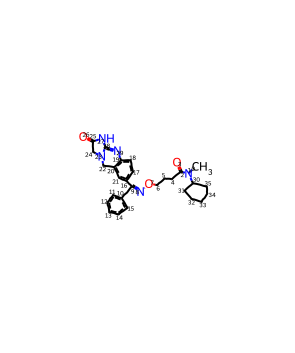 CN(C(=O)CCCO/N=C(/c1ccccc1)c1ccc2c(c1)CN1CC(=O)NC1=N2)C1CCCCC1